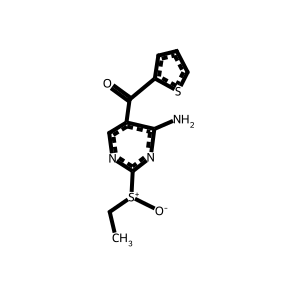 CC[S+]([O-])c1ncc(C(=O)c2cccs2)c(N)n1